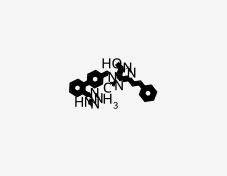 Cc1nc2c(CCc3ccccc3)nnc(O)c2n1Cc1ccc(-c2ccccc2-c2nnn[nH]2)cc1